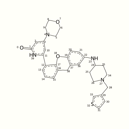 O=c1cc(N2CCOCC2)cc(-c2cccc3c2Oc2ccc(NC4CCN(Cc5ccsc5)CC4)cc2C3)[nH]1